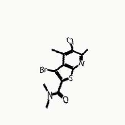 Cc1nc2sc(C(=O)N(C)C)c(Br)c2c(C)c1Cl